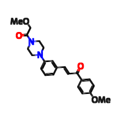 COCC(=O)N1CCN(c2cccc(C=CC(=O)c3ccc(OC)cc3)c2)CC1